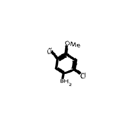 Bc1cc(Cl)c(OC)cc1Cl